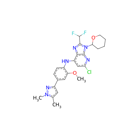 COc1cc(-c2cc(C)n(C)n2)ccc1Nc1cc(Cl)nc2c1nc(C(F)F)n2C1CCCCO1